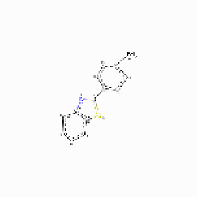 Bc1ccc(-c2nc3ccccc3s2)cc1